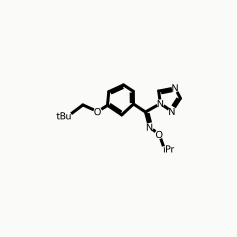 CC(C)ON=C(c1cccc(OCC(C)(C)C)c1)n1cncn1